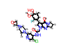 COc1c(O)c(C)cc(-c2cn(CC(=O)Nc3cc(N4CCN(C5COC5)C[C@@H]4C)ncc3Cl)c3nc4n(c(=O)c23)CCC4)c1F